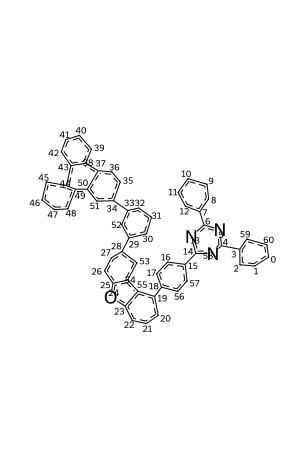 c1ccc(-c2nc(-c3ccccc3)nc(-c3ccc(-c4cccc5oc6ccc(-c7cccc(-c8ccc9c%10ccccc%10c%10ccccc%10c9c8)c7)cc6c45)cc3)n2)cc1